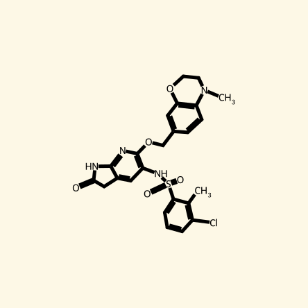 Cc1c(Cl)cccc1S(=O)(=O)Nc1cc2c(nc1OCc1ccc3c(c1)OCCN3C)NC(=O)C2